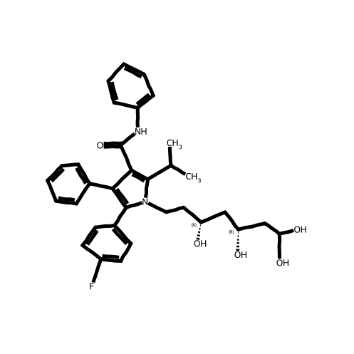 CC(C)c1c(C(=O)Nc2ccccc2)c(-c2ccccc2)c(-c2ccc(F)cc2)n1CC[C@@H](O)C[C@@H](O)CC(O)O